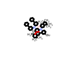 Cc1cc2c3c(c1)N(c1ccc(C(C)(C)C)cc1-c1ccc4c(c1)C(C)(C)CCC4(C)C)c1cc4c(cc1B3c1ccc(-c3ccccc3)cc1N2c1cc(-c2ccccc2)ccc1C)C(C)(C)CC4(C)C